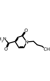 CCCCn1ccc(C(N)=O)cc1=O